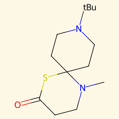 CN1CCC(=O)SC12CCN(C(C)(C)C)CC2